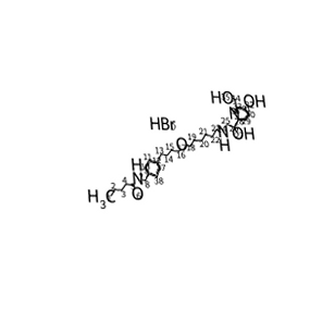 Br.CCCCC(=O)NCc1ccc(CCCCOCCCCCCNCC(O)c2ccc(O)c(CO)n2)cc1